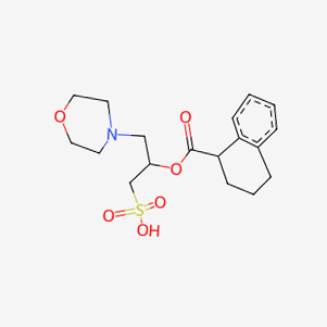 O=C(OC(CN1CCOCC1)CS(=O)(=O)O)C1CCCc2ccccc21